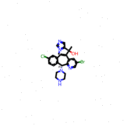 Cn1cncc1C(C)(O)C1=Cc2cc(Cl)ccc2[C@@H](N2CCNCC2)c2ncc(Br)cc21